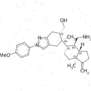 C=C1CC[C@H]2[C@H](CN)[C@@H]([C@@]3(C)Cc4cn(-c5ccc(OC)cc5)nc4C[C@@H]3CO)CC[C@]12C